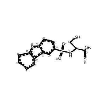 O=C(O)C(CS)NS(=O)(=O)c1ccc2oc3ccccc3c2c1